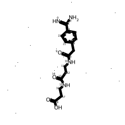 N=C(N)c1ccc(CC(=O)NCCC(=O)NCCC(=O)O)cc1